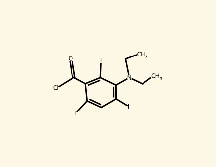 CCN(CC)c1c(I)cc(I)c(C(=O)Cl)c1I